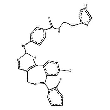 O=C(NCCc1c[nH]cn1)c1ccc(NC2N=CC3=C(N2)c2ccc(Cl)cc2C(c2ccccc2F)=NC3)cc1